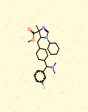 COC(=O)C1(C)N=CN(C2CCCCC2)C1CC1CCC(C(c2cccc(F)c2)N(C)C)CC1